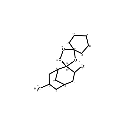 CCC1CC2CC(C)CC(C2)[C@@]12OOC1(CCCCC1)O2